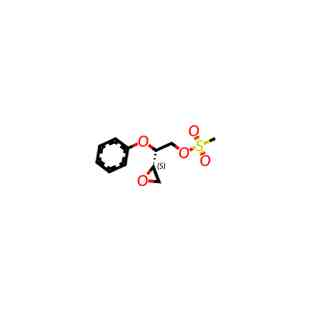 CS(=O)(=O)OCC(Oc1ccccc1)[C@@H]1CO1